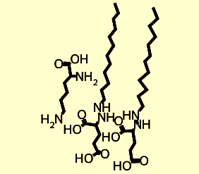 CCCCCCCCCCCCNNC(CCC(=O)O)C(=O)O.CCCCCCCCCCCCNNC(CCC(=O)O)C(=O)O.NCCCCC(N)C(=O)O